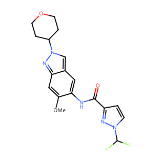 COc1cc2nn(C3CCOCC3)cc2cc1NC(=O)c1ccn(C(F)F)n1